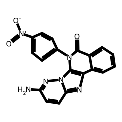 Nc1ccc2nc3c4ccccc4c(=O)n(-c4ccc([N+](=O)[O-])cc4)c3n2n1